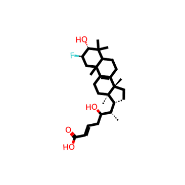 C[C@H](C(O)C/C=C/C(=O)O)[C@H]1CC[C@@]2(C)C3=C(CC[C@]12C)C1(C)C[C@@H](F)[C@H](O)C(C)(C)C1CC3